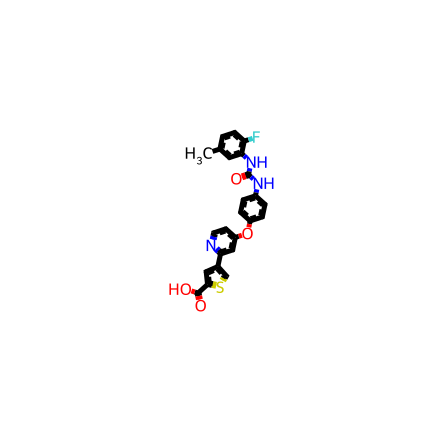 Cc1ccc(F)c(NC(=O)Nc2ccc(Oc3ccnc(-c4csc(C(=O)O)c4)c3)cc2)c1